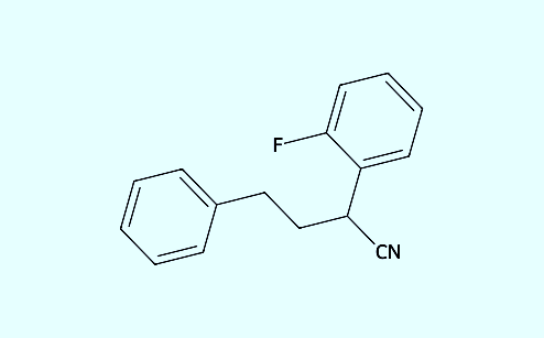 N#CC(CCc1ccccc1)c1ccccc1F